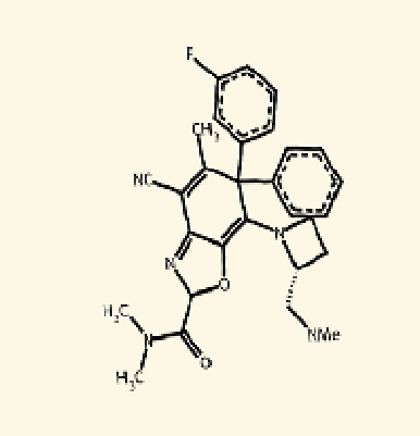 CNC[C@H]1CCN1C1=C2OC(C(=O)N(C)C)N=C2C(C#N)=C(C)C1(c1ccccc1)c1cccc(F)c1